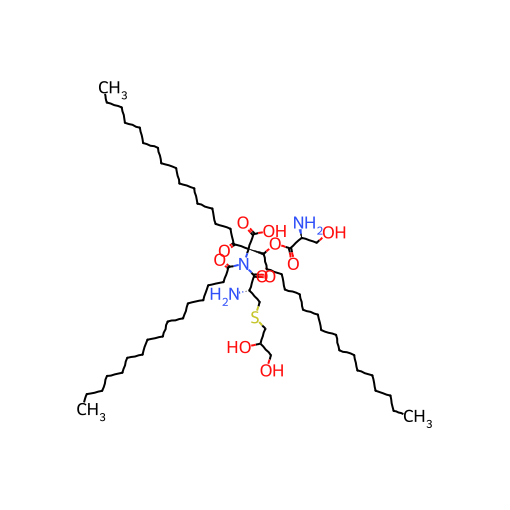 CCCCCCCCCCCCCCCC(=O)C(OC(=O)[C@@H](N)CO)[C@](C(=O)O)(C(=O)CCCCCCCCCCCCCCC)N(C(=O)CCCCCCCCCCCCCCC)C(=O)[C@@H](N)CSCC(O)CO